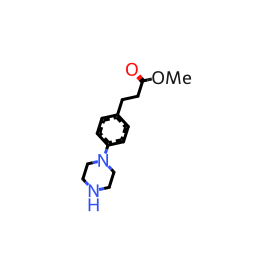 COC(=O)CCc1ccc(N2CCNCC2)cc1